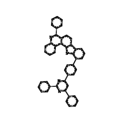 c1ccc(-c2cc(-c3ccc(-c4cccc5c4sc4c5ccc5c(-c6ccccc6)nc6ccccc6c54)cc3)nc(-c3ccccc3)n2)cc1